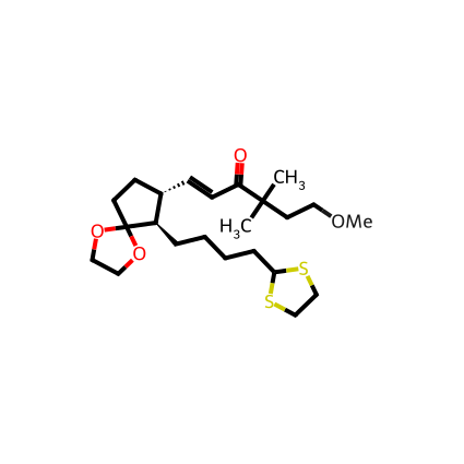 COCCC(C)(C)C(=O)C=C[C@H]1CCC2(OCCO2)[C@@H]1CCCCC1SCCS1